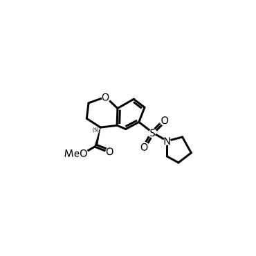 COC(=O)[C@H]1CCOc2ccc(S(=O)(=O)N3CCCC3)cc21